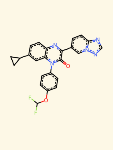 O=c1c(-c2ccc3ncnn3c2)nc2ccc(C3CC3)cc2n1-c1ccc(OC(F)F)cc1